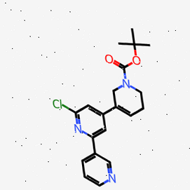 CC(C)(C)OC(=O)N1CCC=C(c2cc(Cl)nc(-c3cccnc3)c2)C1